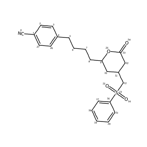 N#Cc1ccc(CCCCC2CC(CS(=O)(=O)c3ccccc3)CC(=O)O2)cc1